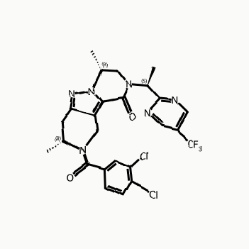 C[C@@H]1Cc2nn3c(c2CN1C(=O)c1ccc(Cl)c(Cl)c1)C(=O)N([C@@H](C)c1ncc(C(F)(F)F)cn1)C[C@H]3C